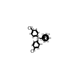 Clc1ccc(P(c2ccc(Cl)cc2)[C]23[CH]4[CH]5[CH]6[CH]2[Fe]56432789[CH]3[CH]2[CH]7[CH]8[CH]39)cc1